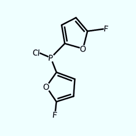 Fc1ccc(P(Cl)c2ccc(F)o2)o1